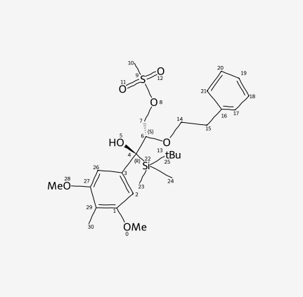 COc1cc([C@](O)([C@H](COS(C)(=O)=O)OCCc2ccccc2)[Si](C)(C)C(C)(C)C)cc(OC)c1C